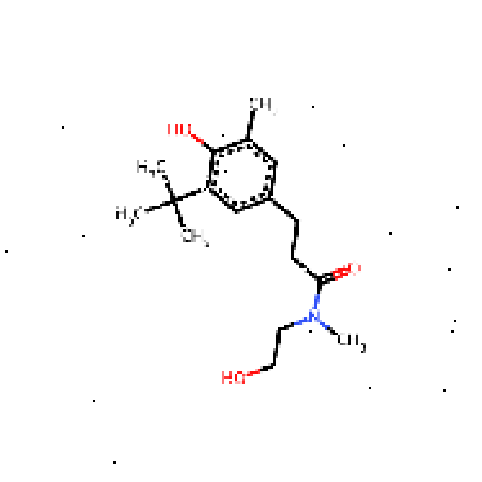 Cc1cc(CCC(=O)N(C)CCO)cc(C(C)(C)C)c1O